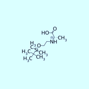 C[C@H](NCCO[Si](C)(C)C(C)(C)C)C(=O)O